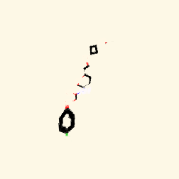 O=C(COc1ccc(Cl)cc1)N[C@H]1CC[C@H](CCO[C@H]2C[C@@H](OC(F)(F)F)C2)OC1